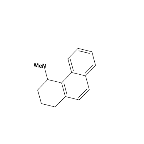 CNC1CCCc2ccc3ccccc3c21